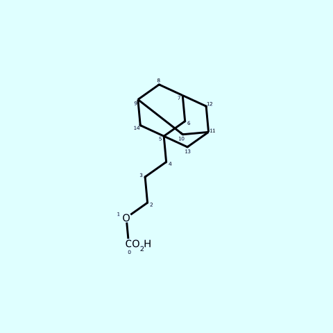 O=C(O)OCCCC12CC3CC(CC(C3)C1)C2